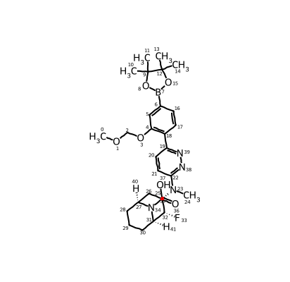 COCOc1cc(B2OC(C)(C)C(C)(C)O2)ccc1-c1ccc(N(C)[C@H]2C[C@@H]3CCC[C@H]([C@H]2F)N3C(=O)O)nn1